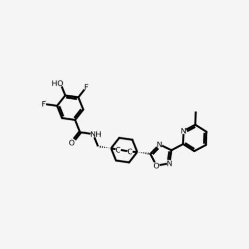 Cc1cccc(-c2noc([C@]34CC[C@](CNC(=O)c5cc(F)c(O)c(F)c5)(CC3)CC4)n2)n1